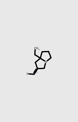 CCC12CCCN1C/C(=C/F)C2